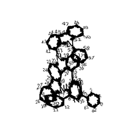 c1ccc(-c2nc(-c3ccccc3)nc(-c3cccc4c3c3c(ccc5c6ccccc6n(-c6ccccc6)c53)n4-c3cccc4c5ccccc5n(-c5ccccc5)c34)n2)cc1